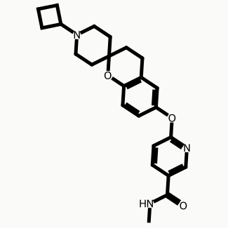 CNC(=O)c1ccc(Oc2ccc3c(c2)CCC2(CCN(C4CCC4)CC2)O3)nc1